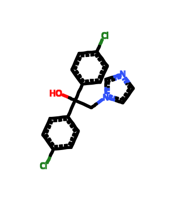 OC(Cn1ccnc1)(c1ccc(Cl)cc1)c1ccc(Cl)cc1